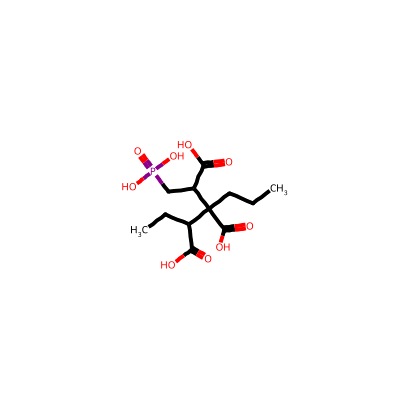 CCCC(C(=O)O)(C(CC)C(=O)O)C(CP(=O)(O)O)C(=O)O